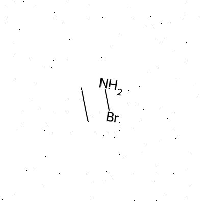 CC.NBr